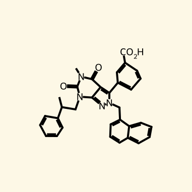 CC(Cn1c(=O)n(C)c(=O)c2c(-c3cccc(C(=O)O)c3)n(Cc3cccc4ccccc34)nc21)c1ccccc1